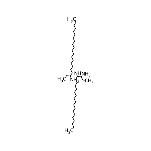 CCCCCCCCCCCCCCCCCC(NC(CCCCCCCCCCCCCCCCC)C(N)CC)C(N)CC